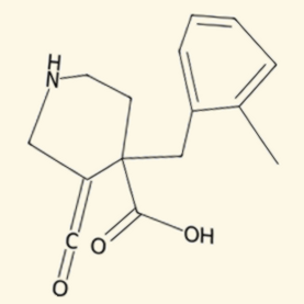 Cc1ccccc1CC1(C(=O)O)CCNCC1=C=O